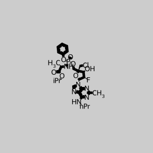 CCCNc1nc(C)nc2c1ncn2[C@@H]1O[C@](CCl)(COP(=O)(N[C@@H](C)C(=O)OC(C)C)Oc2ccccc2)[C@@H](O)[C@@H]1F